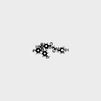 O=C(CNC(=O)c1ccc(S(=O)(=O)Nc2cc(F)ccc2Oc2ccc(Br)cc2)cc1)NCC1CCNCC1